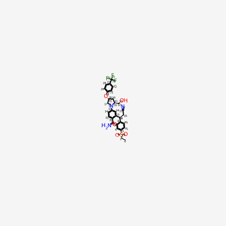 CCS(=O)(=O)c1ccc([C@H](CC#N)c2cc(N3C[C@@H](Oc4ccc(C(F)(F)F)cc4)C[C@H]3CO)ccc2C(N)=O)cc1